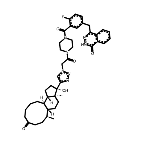 C[C@H]1CCC(=O)CCCC[C@@H]2[C@@H]1CC[C@@]1(C)[C@H]2CC[C@@]1(O)c1cn(CC(=O)N2CCN(C(=O)c3cc(Cc4n[nH]c(=O)c5ccccc45)ccc3F)CC2)nn1